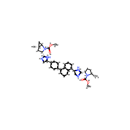 CC1CC[C@@H](c2ncc(-c3cccc4c(-c5ccc(-c6cnc([C@@H]7C[C@H]8CC8N7C(=O)OC(C)(C)C)[nH]6)cc5)cccc34)[nH]2)N1C(=O)OC(C)(C)C